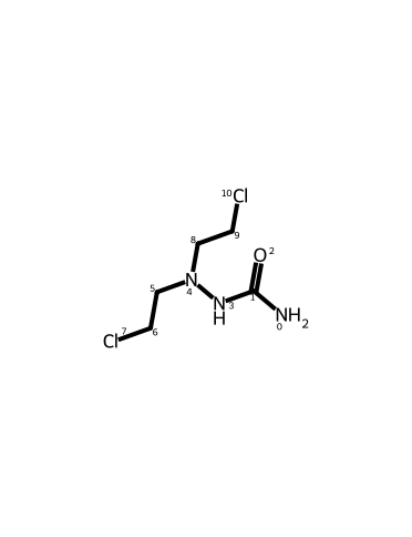 NC(=O)NN(CCCl)CCCl